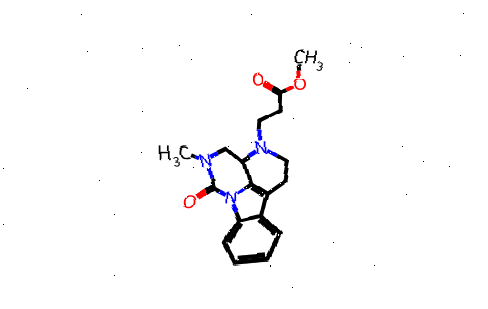 COC(=O)CCN1CCc2c3n(c4ccccc24)C(=O)N(C)CC31